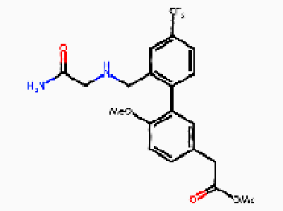 COC(=O)Cc1ccc(OC)c(-c2ccc(C(F)(F)F)cc2CNCC(N)=O)c1